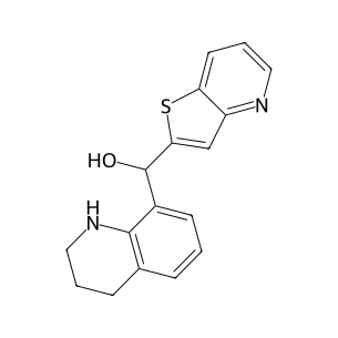 OC(c1cc2ncccc2s1)c1cccc2c1NCCC2